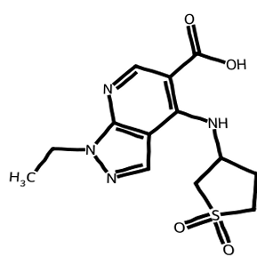 CCn1ncc2c(NC3CCS(=O)(=O)C3)c(C(=O)O)cnc21